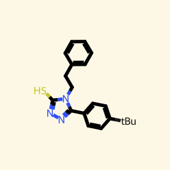 CC(C)(C)c1ccc(-c2nnc(S)n2CCc2ccccc2)cc1